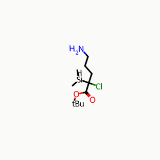 C[SiH](C)C(Cl)(CCCN)C(=O)OC(C)(C)C